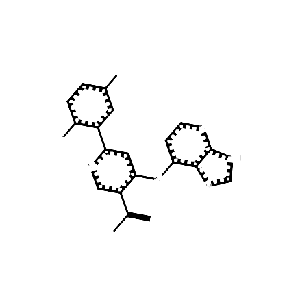 C=C(C)c1cnc(-c2cc(Cl)ccc2F)cc1Nc1ccnc2[nH]cnc12